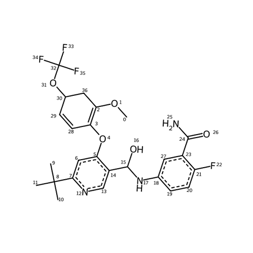 COC1=C(Oc2cc(C(C)(C)C)ncc2C(O)Nc2ccc(F)c(C(N)=O)c2)C=CC(OC(F)(F)F)C1